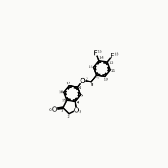 O=C1COc2cc(OCc3ccc(F)c(F)c3)ccc21